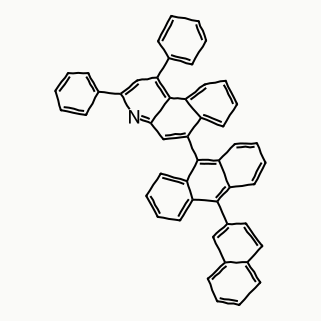 c1ccc(-c2cc(-c3ccccc3)c3c(cc(-c4c5ccccc5c(-c5ccc6ccccc6c5)c5ccccc45)c4ccccc43)n2)cc1